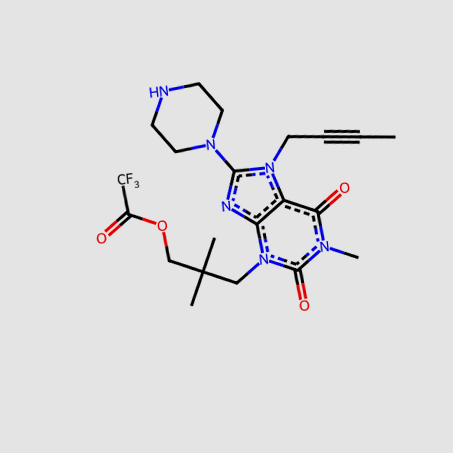 CC#CCn1c(N2CCNCC2)nc2c1c(=O)n(C)c(=O)n2CC(C)(C)COC(=O)C(F)(F)F